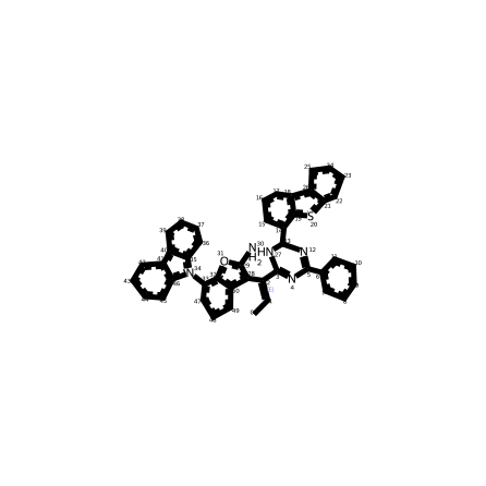 C/C=C(/C1=NC(c2ccccc2)=NC(c2cccc3c2sc2ccccc23)N1)c1c(N)oc2c(-n3c4ccccc4c4ccccc43)cccc12